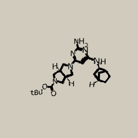 CC(C)(C)OC(=O)N1C[C@@H]2CN(c3cc(N[C@@H]4C[C@H]5CCC4C5)nc(N)n3)C[C@@H]2C1